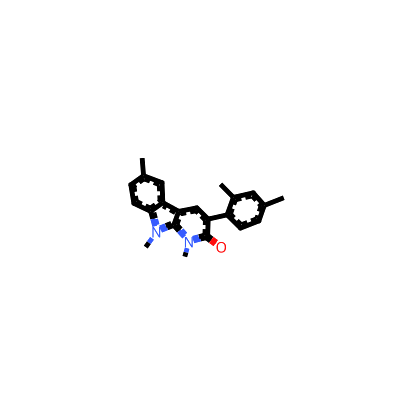 Cc1ccc(-c2cc3c4cc(C)ccc4n(C)c3n(C)c2=O)c(C)c1